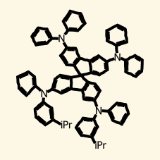 CC(C)c1cccc(N(c2ccccc2)c2ccc3c(c2)-c2cc(N(c4ccccc4)c4cccc(C(C)C)c4)ccc2C32c3ccc(N(c4ccccc4)c4ccccc4)cc3-c3cc(N(c4ccccc4)c4ccccc4)ccc32)c1